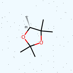 [CH2][C@H]1OC(C)(C)OC1(C)C